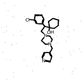 OC1(C(CN2CCN(Cc3ccncc3)CC2)c2cccc(Cl)c2)CCCCC1